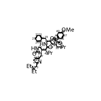 CCN(CC)Cc1nc(CN2C(=O)NCC2[C@@H](C(=O)N[C@@H](Cc2ccccc2)[C@H](O)CN(CC(C)C)S(=O)(=O)c2ccc(OC)cc2)C(C)C)cs1